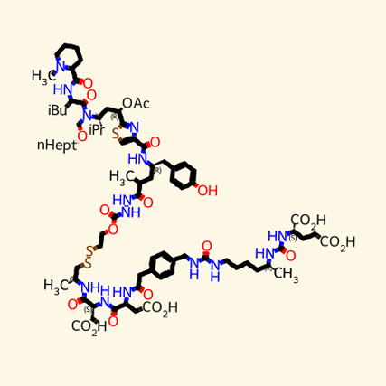 CCCCCCCOCN(C(=O)C(NC(=O)C1CCCCN1C)C(C)CC)[C@H](C[C@@H](OC(C)=O)c1nc(C(=O)N[C@@H](Cc2ccc(O)cc2)CC(C)C(=O)NNC(=O)OCCSSC[C@@H](C)NC(=O)[C@H](CC(=O)O)NC(=O)C(CC(=O)O)NC(=O)Cc2ccc(CNC(=O)NCCCC[C@@H](C)NC(=O)N[C@@H](CCC(=O)O)C(=O)O)cc2)cs1)C(C)C